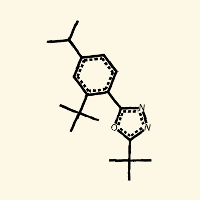 CC(C)c1ccc(-c2nnc(C(C)(C)C)o2)c(C(C)(C)C)c1